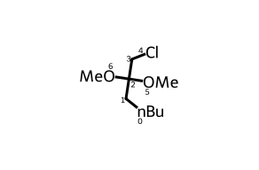 CCCCCC(CCl)(OC)OC